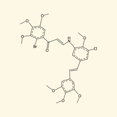 COc1cc(C=Cc2cc(Cl)c(OC)c(NC=CC(=O)c3cc(OC)c(OC)c(OC)c3Br)c2)cc(OC)c1OC